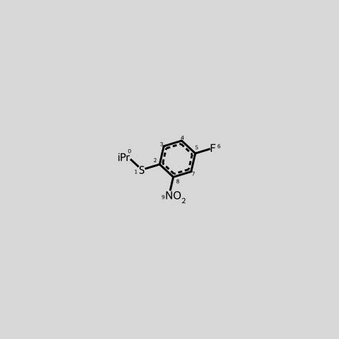 CC(C)Sc1ccc(F)cc1[N+](=O)[O-]